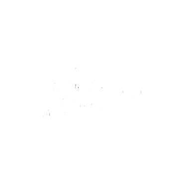 CCOC(=O)c1ccc(OC(C(=O)OC(C)(C)C)N2CCCC2)cc1